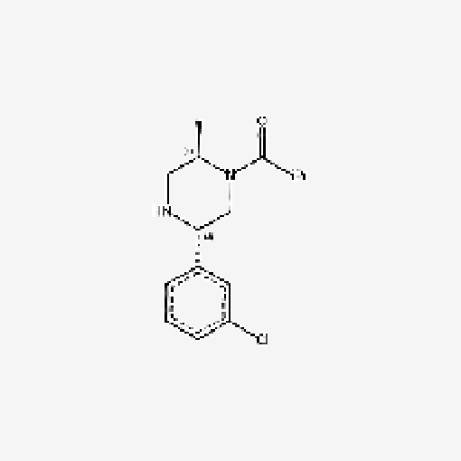 CC(C)C(=O)N1C[C@H](c2cccc(Cl)c2)NC[C@H]1C